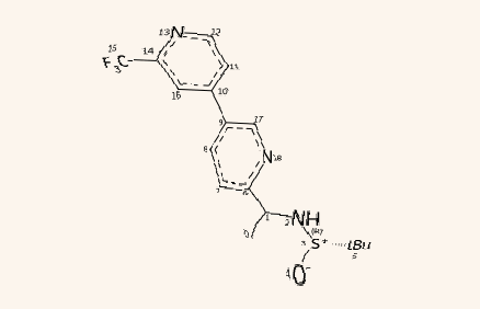 CC(N[S@@+]([O-])C(C)(C)C)c1ccc(-c2ccnc(C(F)(F)F)c2)cn1